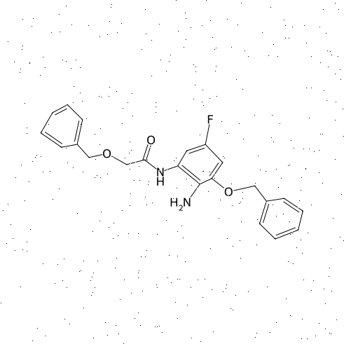 Nc1c(NC(=O)COCc2ccccc2)cc(F)cc1OCc1ccccc1